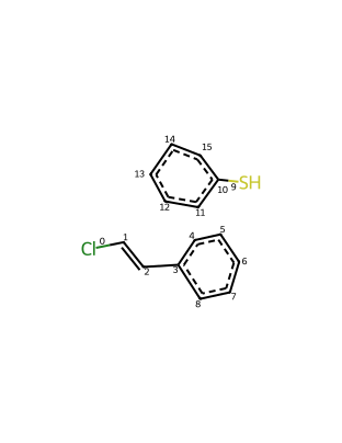 ClC=Cc1ccccc1.Sc1ccccc1